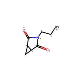 CC(C)CCN1C(=O)C2CC2C1=O